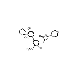 COc1cc(-c2ccc(O)c(C3(C)CCCCC3)c2)cc(CC2SC(N3CCOCC3)=NC2=O)c1O